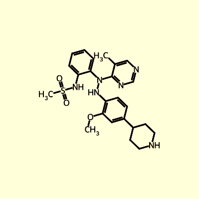 COc1cc(C2CCNCC2)ccc1NN(c1ccccc1NS(C)(=O)=O)c1ncncc1C